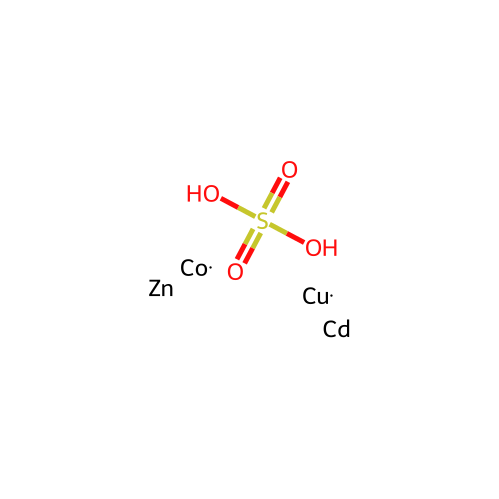 O=S(=O)(O)O.[Cd].[Co].[Cu].[Zn]